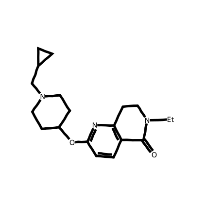 CCN1CCc2nc(OC3CCN(CC4CC4)CC3)ccc2C1=O